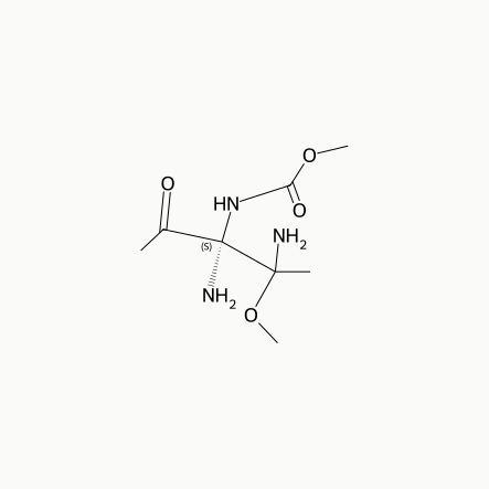 COC(=O)N[C@](N)(C(C)=O)C(C)(N)OC